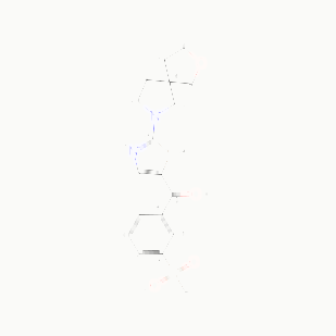 CS(=O)(=O)c1cccc(C(=O)c2cnc(N3CCC4(CCOC4)C3)s2)c1